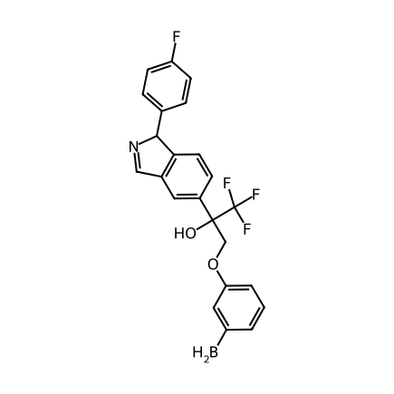 Bc1cccc(OCC(O)(c2ccc3c(c2)C=NC3c2ccc(F)cc2)C(F)(F)F)c1